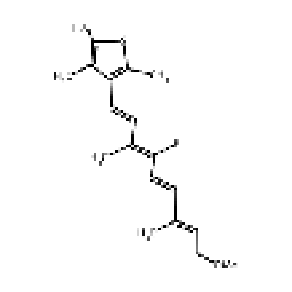 COC/C=C(C)/C=C/C(F)=C(C)/C=C/c1c(C)sc(C)c1C